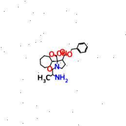 C[C@H](N)C(=O)N1CCC(C(=O)OCc2ccccc2)[C@]1(C(=O)O)C1CCCCCC1